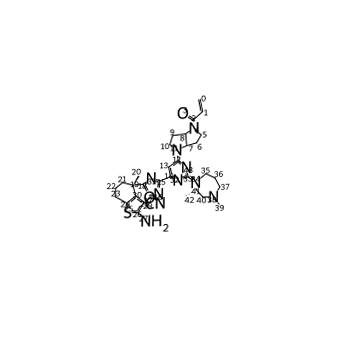 C=CC(=O)N1CCC2C1CCN2c1cc(-c2noc([C@@]3(C)CCCc4sc(N)c(C#N)c43)n2)nc(N2CCCN(C)C[C@@H]2C)n1